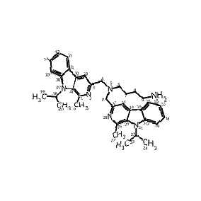 Cc1nc(CN(CCCCN)Cc2cc3c4ccccc4n(C(C)C)c3c(C)n2)cc2c3ccccc3n(C(C)C)c12